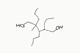 CCCC(C(CC)CO)C(C)(CO)CCC